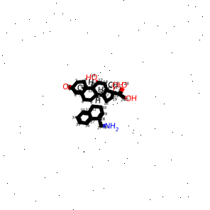 C[C@]12CCC(=O)C=C1CC[C@@H]1[C@@H]2[C@@H](O)C[C@@]2(C)[C@H]1CC[C@]2(O)C(=O)CO.NCC1=CCCc2ccccc21